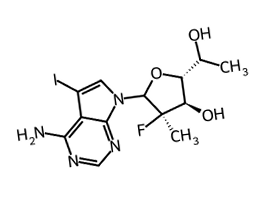 CC(O)[C@H]1OC(n2cc(I)c3c(N)ncnc32)[C@](C)(F)[C@@H]1O